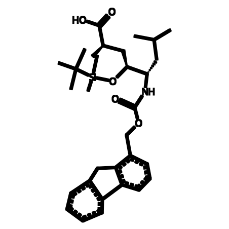 CC(C)C[C@H](NC(=O)OCc1cccc2c1Cc1ccccc1-2)[C@H](C[C@@H](C)C(=O)O)O[Si](C)(C)C(C)(C)C